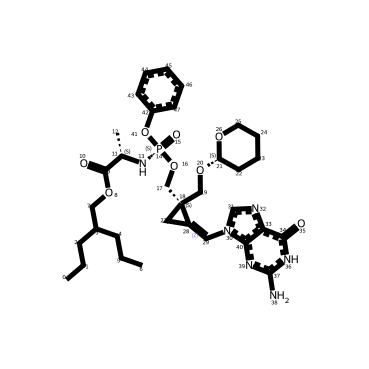 CCCC(CCC)COC(=O)[C@H](C)N[P@](=O)(OC[C@@]1(CO[C@H]2CCCCO2)C/C1=C/n1cnc2c(=O)[nH]c(N)nc21)Oc1ccccc1